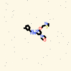 Cc1cccc(/C=N/Nc2cc(N3CCOCC3)cc(OCCc3nccs3)n2)c1